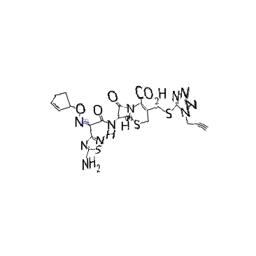 C#CCn1nnnc1SCC1=C(C(=O)O)N2C(=O)C(NC(=O)/C(=N\OC3C=CCC3)c3nsc(N)n3)[C@H]2SC1